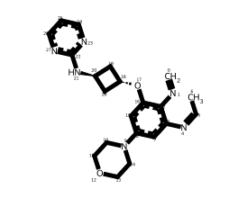 C=Nc1c(/N=C\C)cc(N2CCOCC2)cc1O[C@H]1C[C@H](Nc2ncccn2)C1